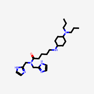 CCCN(CCC)C1CCC(NCCCCC(=O)N(Cc2ncc[nH]2)Cc2ncc[nH]2)CC1